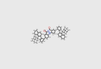 O=c1c2cc(-c3cccc4c3-c3ccc5ccccc5c3C43C4CC5CC6CC3C564)ccc2n2c3ccc(-c4cccc5c4-c4ccc6ccccc6c4C54C5CC6CC7CC4C675)cc3c(=O)n12